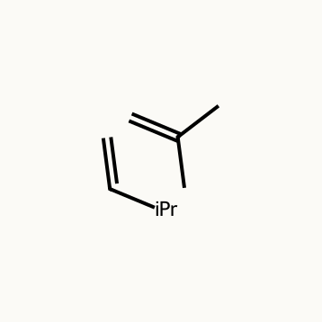 C=C(C)C.C=CC(C)C